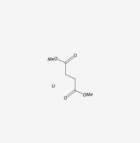 COC(=O)CCC(=O)OC.[Li]